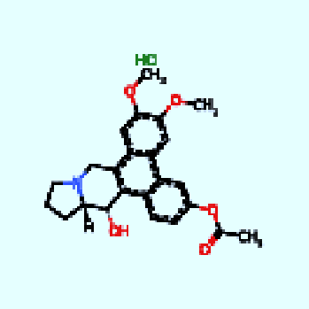 COc1cc2c3c(c4ccc(OC(C)=O)cc4c2cc1OC)[C@H](O)[C@@H]1CCCN1C3.Cl